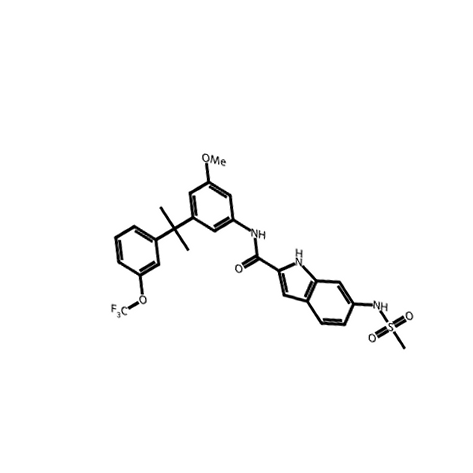 COc1cc(NC(=O)c2cc3ccc(NS(C)(=O)=O)cc3[nH]2)cc(C(C)(C)c2cccc(OC(F)(F)F)c2)c1